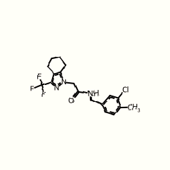 Cc1ccc(CNC(=O)Cn2nc(C(F)(F)F)c3c2CCCC3)cc1Cl